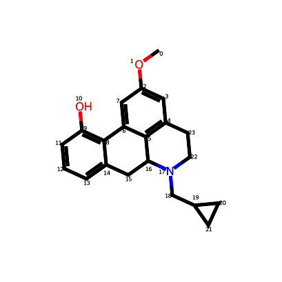 COc1cc2c3c(c1)-c1c(O)cccc1CC3N(CC1CC1)CC2